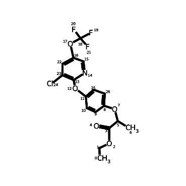 CCOC(=O)C(C)Oc1ccc(Oc2ncc(OC(F)(F)F)cc2Cl)cc1